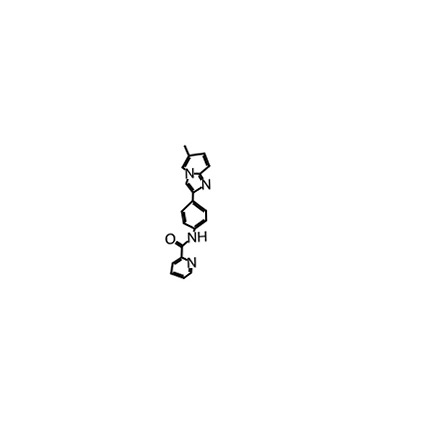 Cc1ccc2nc(-c3ccc(NC(=O)c4ccccn4)cc3)cn2c1